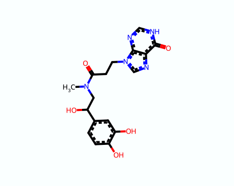 CN(CC(O)c1ccc(O)c(O)c1)C(=O)CCn1cnc2c(=O)[nH]cnc21